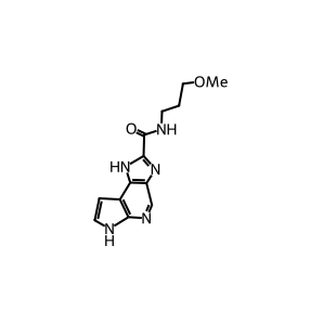 COCCCNC(=O)c1nc2cnc3[nH]ccc3c2[nH]1